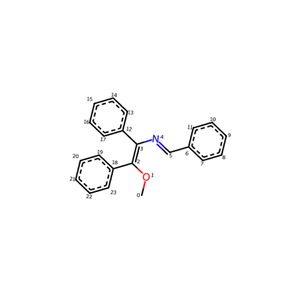 COC(=C(N=Cc1ccccc1)c1ccccc1)c1ccccc1